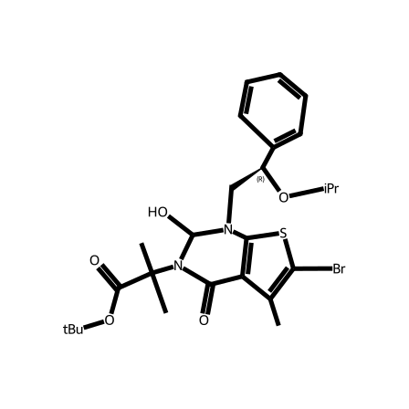 Cc1c(Br)sc2c1C(=O)N(C(C)(C)C(=O)OC(C)(C)C)C(O)N2C[C@H](OC(C)C)c1ccccc1